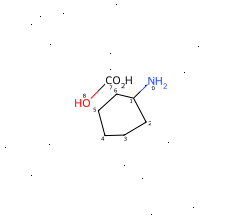 NC1CCCCC1.O=C(O)O